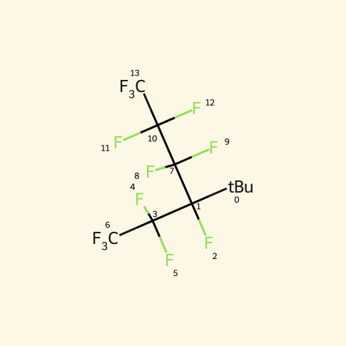 CC(C)(C)C(F)(C(F)(F)C(F)(F)F)C(F)(F)C(F)(F)C(F)(F)F